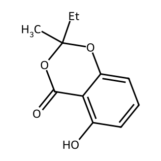 CCC1(C)OC(=O)c2c(O)cccc2O1